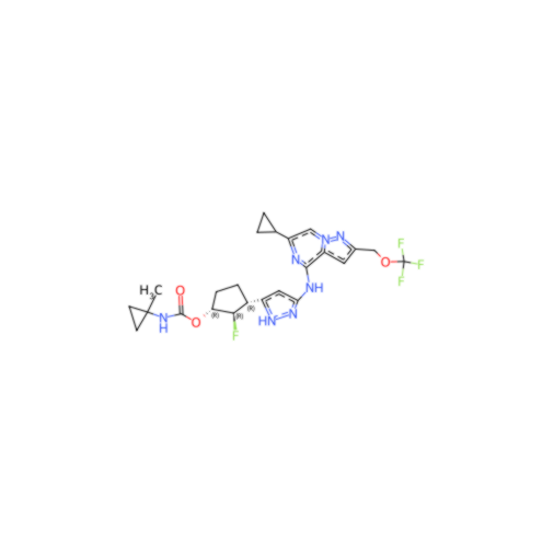 CC1(NC(=O)O[C@@H]2CC[C@H](c3cc(Nc4nc(C5CC5)cn5nc(COC(F)(F)F)cc45)n[nH]3)[C@H]2F)CC1